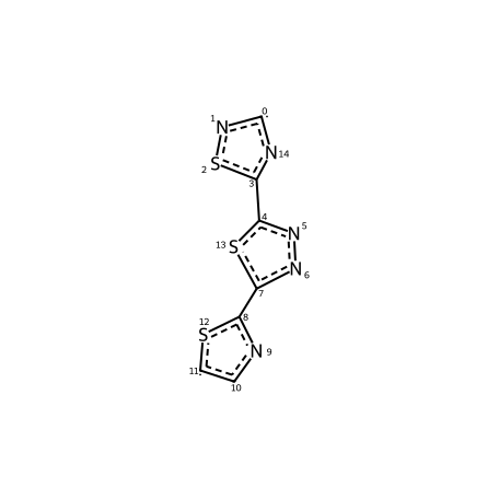 [c]1nsc(-c2nnc(-c3nc[c]s3)s2)n1